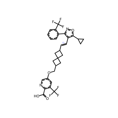 O=C(O)c1ncc(OCC2CC3(CC(/C=C/c4c(-c5ccccc5C(F)(F)F)noc4C4CC4)C3)C2)cc1C(F)(F)F